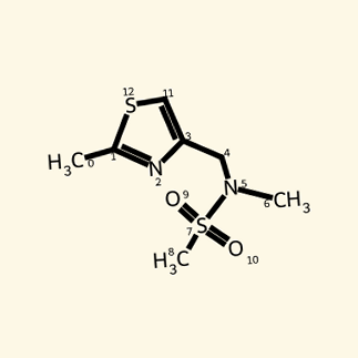 Cc1nc(CN(C)S(C)(=O)=O)cs1